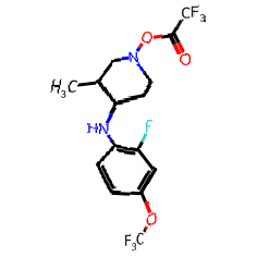 CC1CN(OC(=O)C(F)(F)F)CCC1Nc1ccc(OC(F)(F)F)cc1F